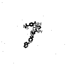 Cc1ncsc1-c1ccc(C(C)NC(=O)C2CCCN2C(=O)C(c2cc(N3CC4(CCN(CC5CCC6CCCN65)CC4)C3)no2)C(C)C)cc1